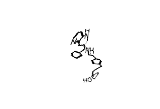 O=C(O)CCc1ccc(CCN[C@H](c2ccccc2)[C@H]2CNc3cccnc3C2)cc1